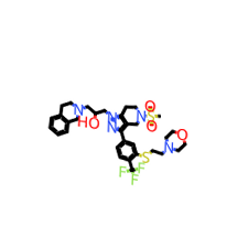 CS(=O)(=O)N1CCc2c(c(-c3ccc(C(F)(F)F)c(SCCN4CCOCC4)c3)nn2CC(O)CN2CCc3ccccc3C2)C1